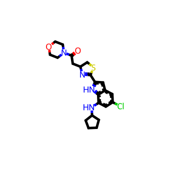 O=C(CC1CSC(c2cc3cc(Cl)cc(NC4CCCC4)c3[nH]2)=N1)N1CCOCC1